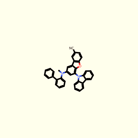 CN(c1cc(-n2c3ccccc3c3ccccc32)c2oc3ccc(C#N)cc3c2c1)c1ccccc1-c1ccccc1